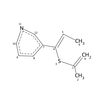 C=C(C)S/C(=C\C)c1cccnc1